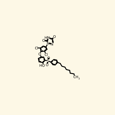 CCCCCCCCc1ccc(S(=O)(=O)c2cc(Oc3c(Cl)cc(-n4ncc(=O)[nH]c4=O)cc3Cl)ccc2O)cc1